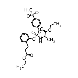 CCOC(=O)CCc1ccccc1OP(=O)(NC(C)C(=O)OCC)Oc1ccc(S(C)(=O)=O)cc1